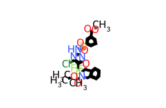 COC(=O)c1cccc(S(=O)(=O)Nc2nc(Cl)c(C(F)(F)F)c(OC3CN(C(=O)OC(C)(C)C)Cc4ccccc43)n2)c1